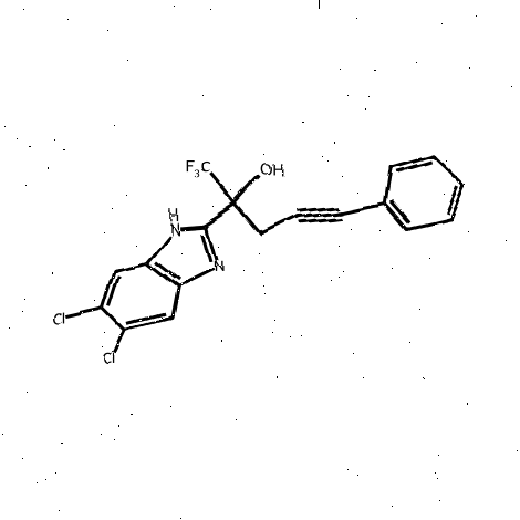 OC(CC#Cc1ccccc1)(c1nc2cc(Cl)c(Cl)cc2[nH]1)C(F)(F)F